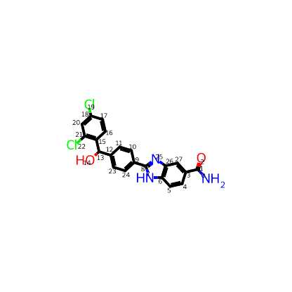 NC(=O)c1ccc2[nH]c(-c3ccc(C(O)c4ccc(Cl)cc4Cl)cc3)nc2c1